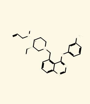 C=CCN(C(=O)O)[C@@H]1CCN(Cc2cccc3ncnc(Nc4cccc(OC)c4)c23)C[C@H]1CO